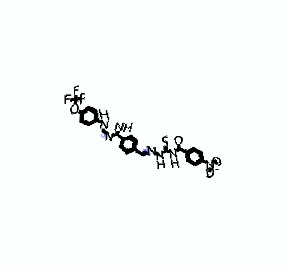 N=C(/N=C\Nc1ccc(OC(F)(F)F)cc1)c1ccc(/C=N/NC(=S)NC(=O)c2ccc([N+](=O)[O-])cc2)cc1